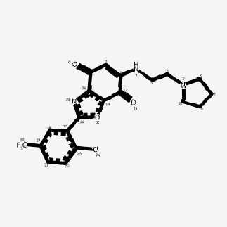 O=C1C=C(NCCN2CCCC2)C(=O)c2oc(-c3cc(C(F)(F)F)ccc3Cl)nc21